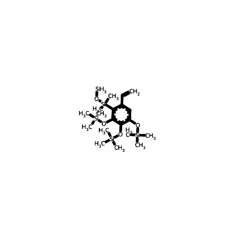 C=Cc1cc(O[Si](C)(C)C)c(O[Si](C)(C)C)c(O[Si](C)(C)C)c1[Si](C)(C)O[SiH3]